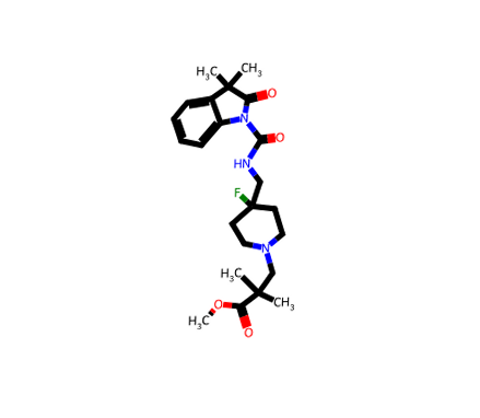 COC(=O)C(C)(C)CN1CCC(F)(CNC(=O)N2C(=O)C(C)(C)c3ccccc32)CC1